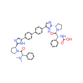 CN(C)[C@@H](C(=O)N1CCC[C@H]1c1ncc(-c2ccc(-c3ccc(-c4cnc([C@@H]5CCCN5C(=O)[C@H](NC(=O)O)c5ccccc5)[nH]4)cc3)cc2)[nH]1)c1ccccc1